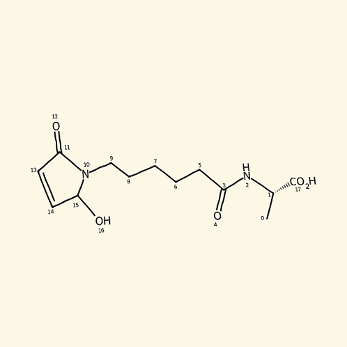 C[C@H](NC(=O)CCCCCN1C(=O)C=CC1O)C(=O)O